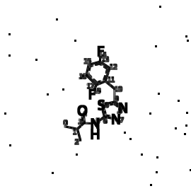 CC(C)C(=O)Nc1nnc(Cc2cc(F)ccc2F)s1